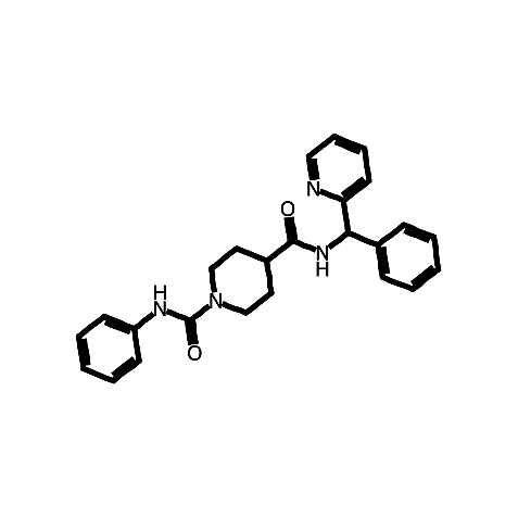 O=C(NC(c1ccccc1)c1ccccn1)C1CCN(C(=O)Nc2ccccc2)CC1